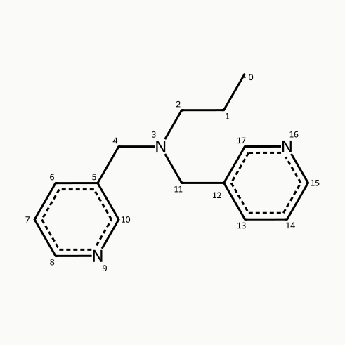 [CH2]CCN(Cc1cccnc1)Cc1cccnc1